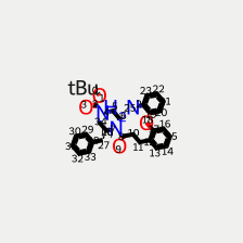 CC(C)(C)OC(=O)N1CCN(C(=O)CCc2ccccc2Oc2ccccc2N)[C@H](Cc2ccccc2)C1